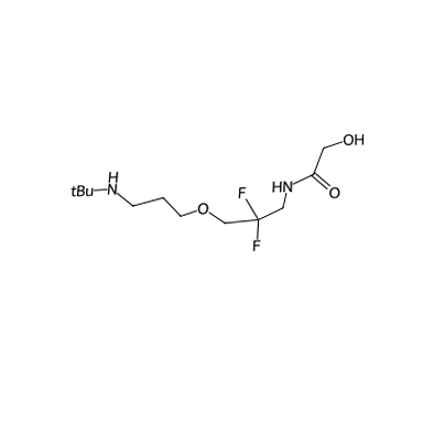 CC(C)(C)NCCCOCC(F)(F)CNC(=O)CO